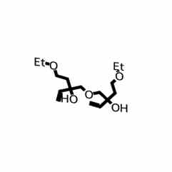 C=CC(O)(CCOCC)COCC(O)(C=C)CCOCC